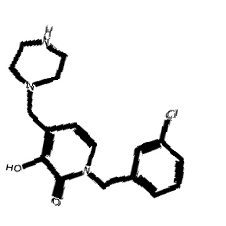 O=c1c(O)c(CN2CCNCC2)ccn1Cc1cccc(Cl)c1